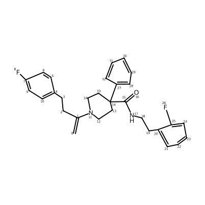 C=C(CCc1ccc(F)cc1)N1CCC(C(=O)NCCc2ccccc2F)(c2ccccc2)CC1